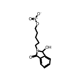 O=C1c2ccccc2C(O)N1CCCCCO[N+](=O)[O-]